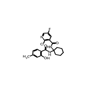 Cc1ccc(C(=O)NC2(NC(=O)c3cc(F)cnc3Cl)CCCCC2)c(O)c1